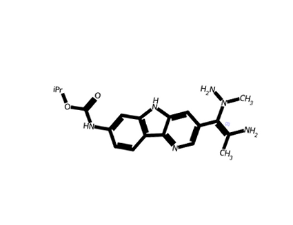 C/C(N)=C(\c1cnc2c(c1)[nH]c1cc(NC(=O)OC(C)C)ccc12)N(C)N